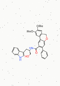 COc1cc2c(cc1OC)-c1cc(C(=O)N[C@@H](CO)Cc3c[nH]c4ccccc34)c(-c3ccccc3)cc1OC2